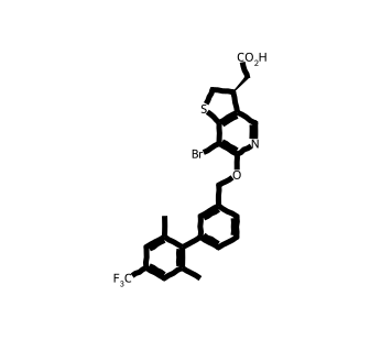 Cc1cc(C(F)(F)F)cc(C)c1-c1cccc(COc2ncc3c(c2Br)SC[C@H]3CC(=O)O)c1